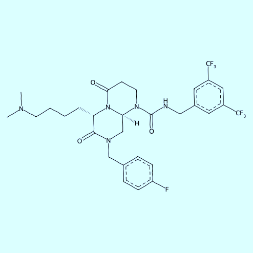 CN(C)CCCC[C@H]1C(=O)N(Cc2ccc(F)cc2)C[C@@H]2N(C(=O)NCc3cc(C(F)(F)F)cc(C(F)(F)F)c3)CCC(=O)N21